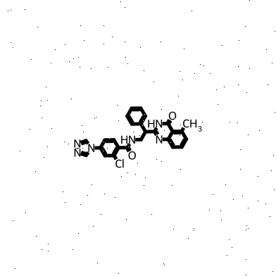 Cc1cccc2nc(C(CNC(=O)c3ccc(-n4cnnc4)cc3Cl)c3ccccc3)[nH]c(=O)c12